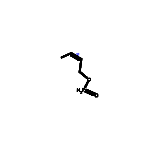 C/C=C\CO[PH2]=O